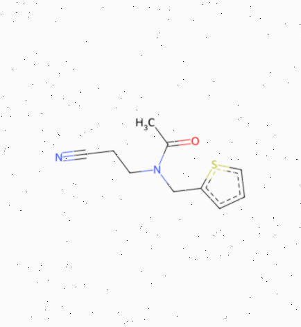 CC(=O)N(CCC#N)Cc1cccs1